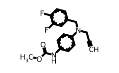 C#CCN(Cc1ccc(F)c(F)c1)c1ccc(NC(=O)OC)cc1